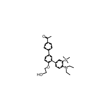 CCN(CC)c1ccc(-c2cc(-c3ccc(C(C)=O)cc3)ccc2OCCO)cc1[Si](C)(C)C